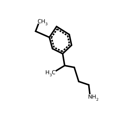 CCc1cccc(C(C)CCCN)c1